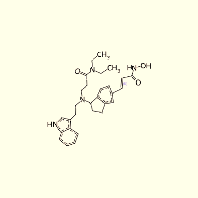 CCN(CC)C(=O)CCN(CCc1c[nH]c2ccccc12)C1CCc2cc(/C=C/C(=O)NO)ccc21